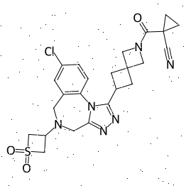 N#CC1(C(=O)N2CC3(CC(c4nnc5n4-c4ccc(Cl)cc4CN(C4CS(=O)(=O)C4)C5)C3)C2)CC1